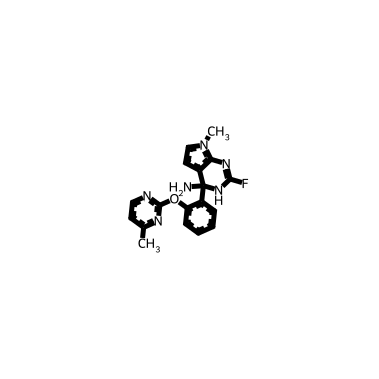 Cc1ccnc(Oc2ccccc2C2(N)NC(F)=Nc3c2ccn3C)n1